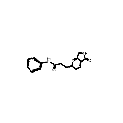 O=C(CCC1CC=C2C(=O)NCC2=N1)Nc1ccccc1